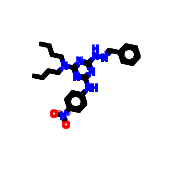 CCCCN(CCCC)c1nc(NN=Cc2ccccc2)nc(Nc2ccc([N+](=O)[O-])cc2)n1